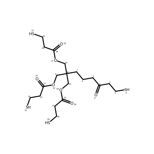 O=C(CCS)CCCC(COC(=O)CCS)(COC(=O)CCS)COC(=O)CCS